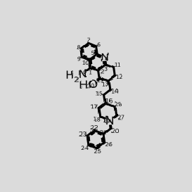 Nc1c2c(nc3ccccc13)CCC(CCC1CCN(Cc3ccccc3)CC1)C2O